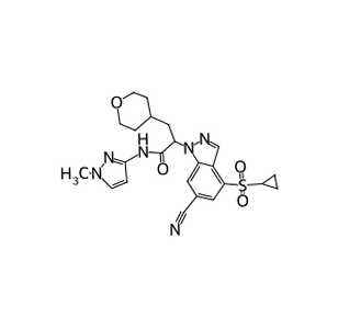 Cn1ccc(NC(=O)C(CC2CCOCC2)n2ncc3c(S(=O)(=O)C4CC4)cc(C#N)cc32)n1